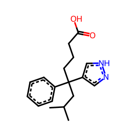 CC(C)CC(CCCC(=O)O)(c1ccccc1)c1cn[nH]c1